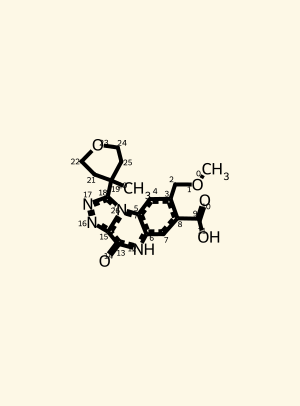 COCc1cc2c(cc1C(=O)O)[nH]c(=O)c1nnc(C3(C)CCOCC3)n12